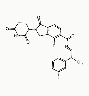 Cc1cccc(C(/C=N/C(=O)c2ccc3c(c2F)CN(C2CCC(=O)NC2=O)C3=O)C(F)(F)F)c1